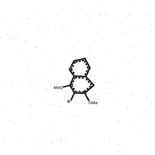 COc1cc2ccccc2c(OC)c1Br